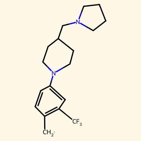 [CH2]c1ccc(N2CCC(CN3CCCC3)CC2)cc1C(F)(F)F